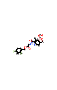 Cc1c(C(=O)NCC(=O)OCc2ccc(F)cc2F)ccc2c1B(O)OC2